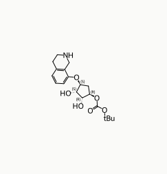 CC(C)(C)OC(=O)O[C@@H]1C[C@H](Oc2cccc3c2CNCC3)[C@@H](O)[C@H]1O